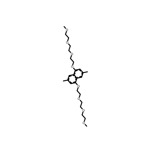 COCCOCCOCCOc1cc(C)cc2c(OCCOCCOCCOC)cc(C)cc12